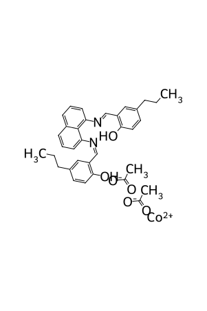 CC(=O)[O-].CC(=O)[O-].CCCc1ccc(O)c(C=Nc2cccc3cccc(N=Cc4cc(CCC)ccc4O)c23)c1.[Co+2]